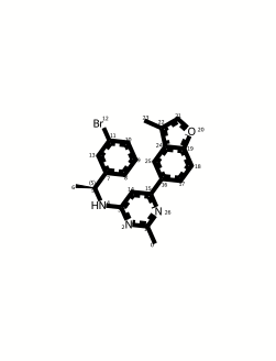 Cc1nc(N[C@@H](C)c2cccc(Br)c2)cc(-c2ccc3occ(C)c3c2)n1